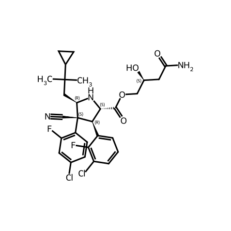 CC(C)(C[C@H]1N[C@H](C(=O)OC[C@@H](O)CC(N)=O)[C@@H](c2cccc(Cl)c2F)[C@]1(C#N)c1ccc(Cl)cc1F)C1CC1